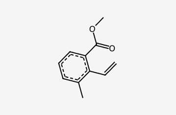 C=Cc1c(C)cccc1C(=O)OC